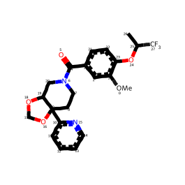 COc1cc(C(=O)N2CCC3(c4ccccn4)OCOC3C2)ccc1OC(C)C(F)(F)F